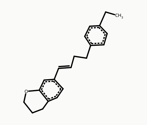 CCc1ccc(CC/C=C/c2ccc3c(c2)OCCC3)cc1